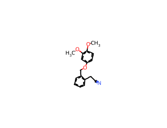 COc1ccc(OCc2ccccc2CC#N)cc1OC